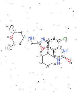 CC1CC(NCc2nc3cc(Cl)c4c(c3o2)C2(CCCCC2)NC(=O)N4)CC(C)O1